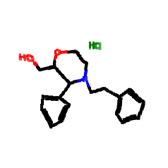 Cl.OCC1OCCN(CCc2ccccc2)C1c1ccccc1